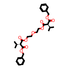 CC(C)[C@H](C(=O)OCCOCCOC(=O)[C@@H](C(=O)OCc1ccccc1)C(C)C)C(=O)OCc1ccccc1